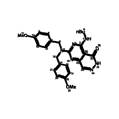 CCCCNc1nc(N(Cc2ccc(OC)cc2)Cc2ccc(OC)cc2)nc2cn[nH]c(=O)c12